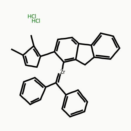 CC1=CCC(c2ccc3c([c]2[Zr]=[C](c2ccccc2)c2ccccc2)Cc2ccccc2-3)=C1C.Cl.Cl